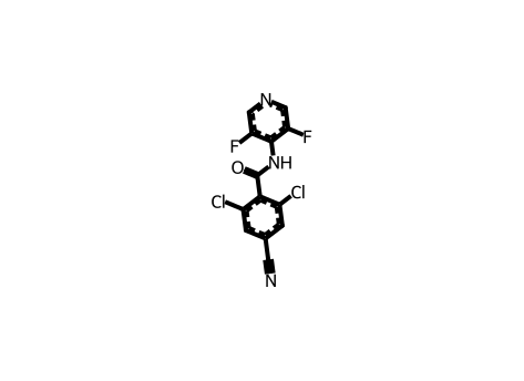 N#Cc1cc(Cl)c(C(=O)Nc2c(F)cncc2F)c(Cl)c1